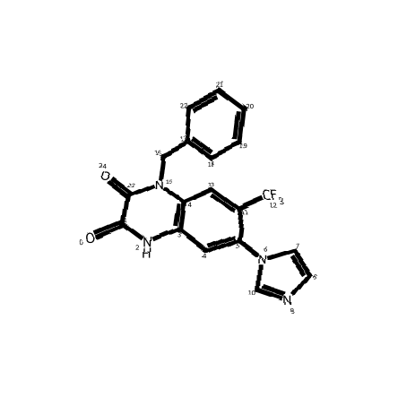 O=c1[nH]c2cc(-n3ccnc3)c(C(F)(F)F)cc2n(Cc2ccccc2)c1=O